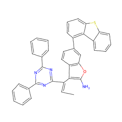 C/C=C(/c1nc(-c2ccccc2)nc(-c2ccccc2)n1)c1c(N)oc2cc(-c3cccc4sc5ccccc5c34)ccc12